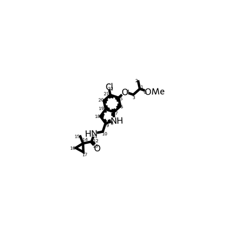 COC(C)COc1cc2[nH]c(CNC(=O)C3(C)CC3)cc2cc1Cl